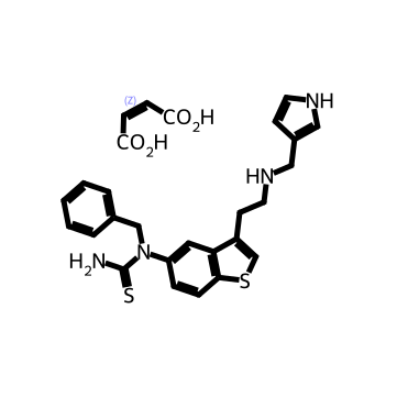 NC(=S)N(Cc1ccccc1)c1ccc2scc(CCNCc3cc[nH]c3)c2c1.O=C(O)/C=C\C(=O)O